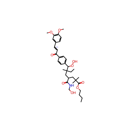 CCCCOC(=O)C(C)(C)CC(CC(C)(CC)C(OO)c1ccc(C(=O)/C=C/c2ccc(OC)c(OC)c2)cc1)C(=O)NCO